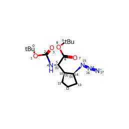 CC(C)(C)OC(=O)N[C@H](C(=O)OC(C)(C)C)[C@@H]1CCC[C@@H]1N=[N+]=[N-]